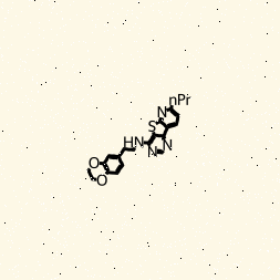 CCCc1ccc2c(n1)sc1c(NCCc3ccc4c(c3)OCCO4)ncnc12